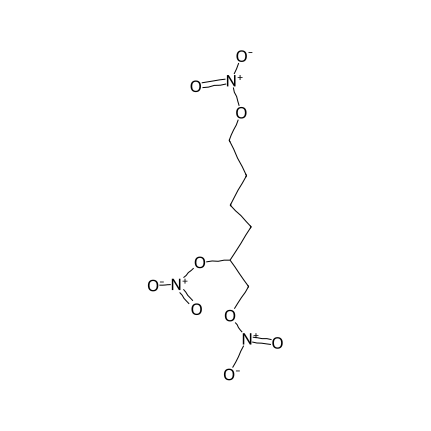 O=[N+]([O-])OCCCCC(CO[N+](=O)[O-])O[N+](=O)[O-]